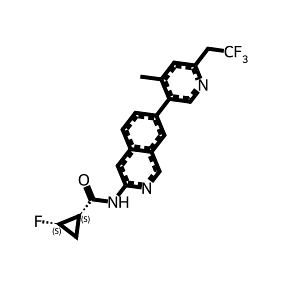 Cc1cc(CC(F)(F)F)ncc1-c1ccc2cc(NC(=O)[C@@H]3C[C@@H]3F)ncc2c1